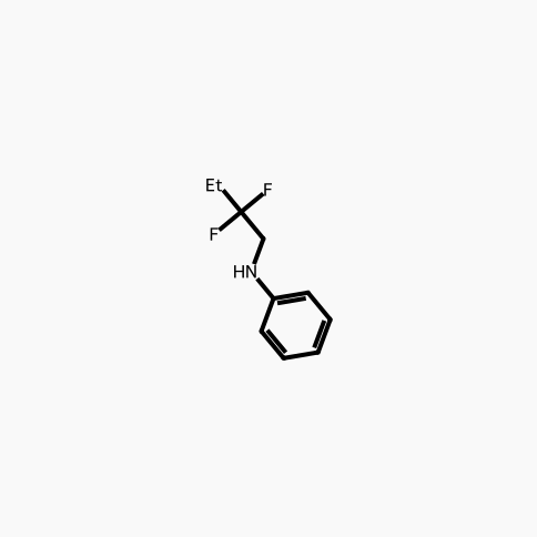 CCC(F)(F)CNc1ccccc1